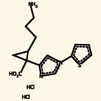 Cl.Cl.NCCCC1CC1(C(=O)O)c1cn(-c2cccs2)cn1